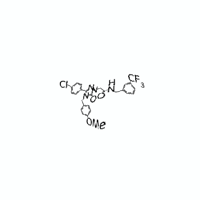 COc1ccc(Cn2c(-c3ccc(Cl)cc3)nn(CC(=O)NCc3cccc(C(F)(F)F)c3)c2=O)cc1